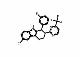 Fc1cccc(C2c3[nH]c4ccc(Cl)cc4c3CCN2c2nccc(C(F)(F)F)n2)c1